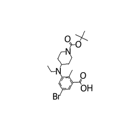 CCN(c1cc(Br)cc(C(=O)O)c1C)C1CCN(C(=O)OC(C)(C)C)CC1